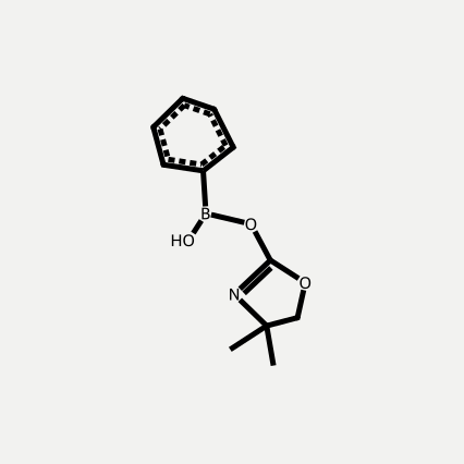 CC1(C)COC(OB(O)c2ccccc2)=N1